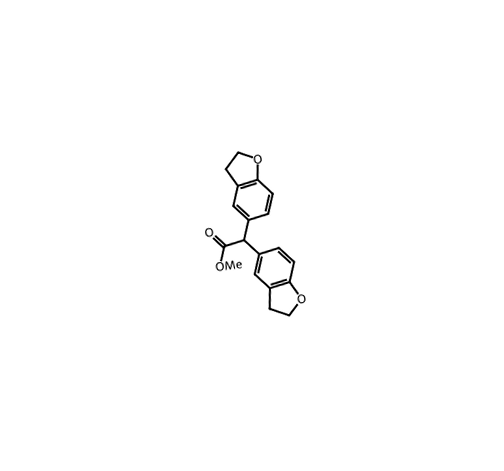 COC(=O)C(c1ccc2c(c1)CCO2)c1ccc2c(c1)CCO2